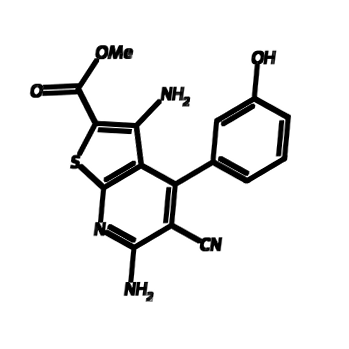 COC(=O)c1sc2nc(N)c(C#N)c(-c3cccc(O)c3)c2c1N